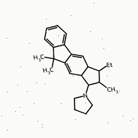 CCC1C(C)C(N2CCCC2)C2C=C3C(=CC21)c1ccccc1C3(C)C